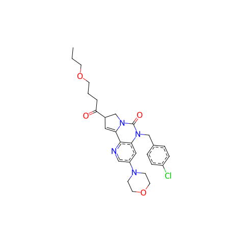 CCCOCCCC(=O)C1C=C2c3ncc(N4CCOCC4)cc3N(Cc3ccc(Cl)cc3)C(=O)N2C1